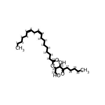 CCCCC/C=C\C/C=C\CCCCCCCC(=O)OC(CO)C(O)C(=O)CCCCC